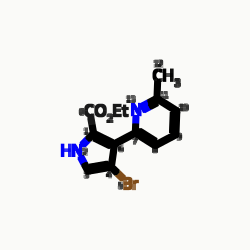 CCOC(=O)c1[nH]cc(Br)c1-c1cccc(C)n1